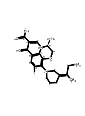 C/C(CN)=C1\CCCN(c2c(F)cc3c(=O)c(C(=O)O)cn4c3c2OC[C@@H]4C)C1